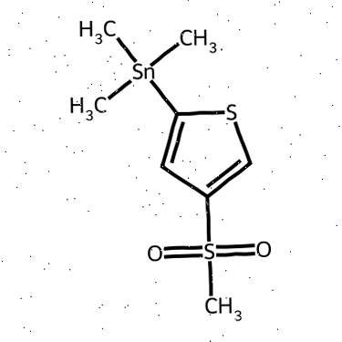 CS(=O)(=O)c1cs[c]([Sn]([CH3])([CH3])[CH3])c1